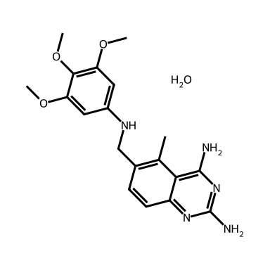 COc1cc(NCc2ccc3nc(N)nc(N)c3c2C)cc(OC)c1OC.O